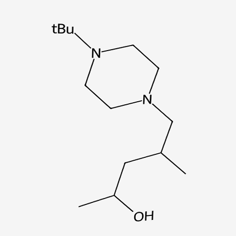 CC(O)CC(C)CN1CCN(C(C)(C)C)CC1